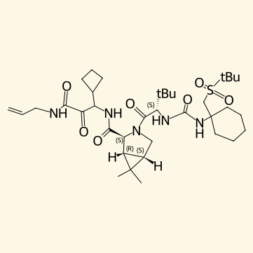 C=CCNC(=O)C(=O)C(NC(=O)[C@@H]1[C@@H]2[C@H](CN1C(=O)[C@@H](NC(=O)NC1(CS(=O)(=O)C(C)(C)C)CCCCC1)C(C)(C)C)C2(C)C)C1CCC1